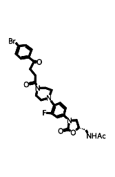 CC(=O)NC[C@H]1CN(c2ccc(N3CCN(C(=O)CCC(=O)c4ccc(Br)cc4)CC3)c(F)c2)C(=O)O1